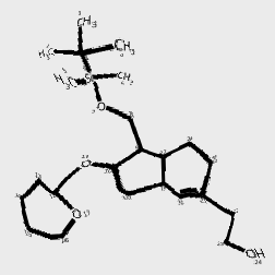 CC(C)(C)[Si](C)(C)OCC1C(OC2CCCCO2)CC2C=C(CCO)CCC21